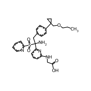 CCCOCC1(c2ccc(CC(N)(c3cccc(NCC(=O)O)n3)S(=O)(=O)c3ccccn3)cc2)CC1